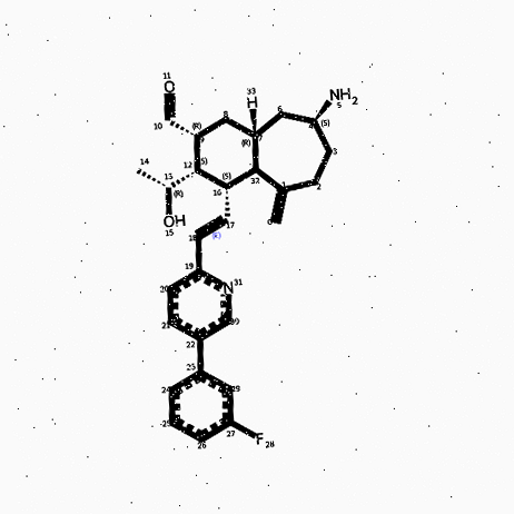 C=C1CC[C@H](N)C[C@H]2C[C@@H](C=O)[C@@H]([C@@H](C)O)[C@@H](/C=C/c3ccc(-c4cccc(F)c4)cn3)C12